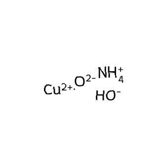 [Cu+2].[NH4+].[O-2].[OH-]